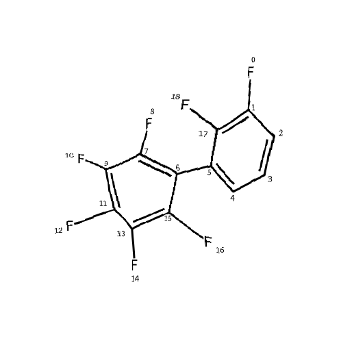 Fc1cccc(-c2c(F)c(F)c(F)c(F)c2F)c1F